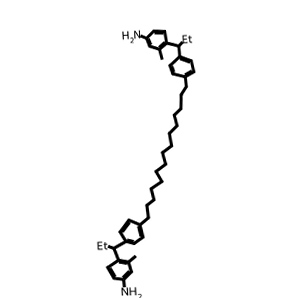 CCC(c1ccc(CCCCCCCCCCCCCCCc2ccc(C(CC)c3ccc(N)cc3C)cc2)cc1)c1ccc(N)cc1C